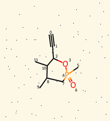 C#CC1OP(C)(=O)CC(C)C1C